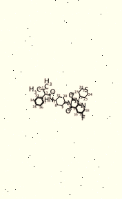 CC(C)C(C(=O)NC1CCC(n2c(=O)c3cc(F)cnc3n(C3CCSCC3)c2=O)CC1)c1ccccc1